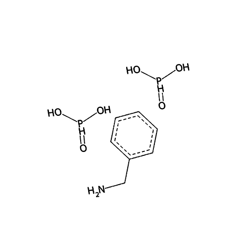 NCc1ccccc1.O=[PH](O)O.O=[PH](O)O